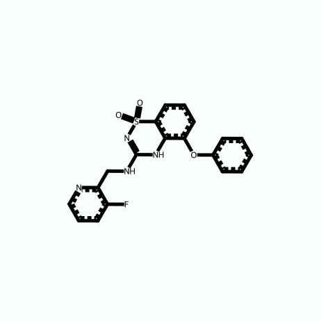 O=S1(=O)N=C(NCc2ncccc2F)Nc2c(Oc3ccccc3)cccc21